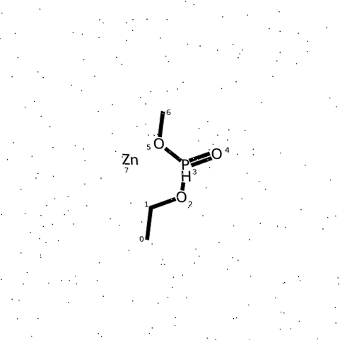 CCO[PH](=O)OC.[Zn]